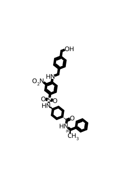 C[C@@H](NC(=O)[C@H]1CC[C@H](NS(=O)(=O)c2ccc(NCc3ccc(CO)cc3)c([N+](=O)[O-])c2)CC1)c1ccccc1